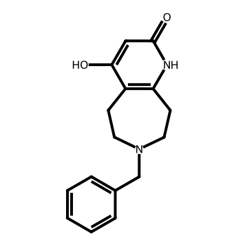 O=c1cc(O)c2c([nH]1)CCN(Cc1ccccc1)CC2